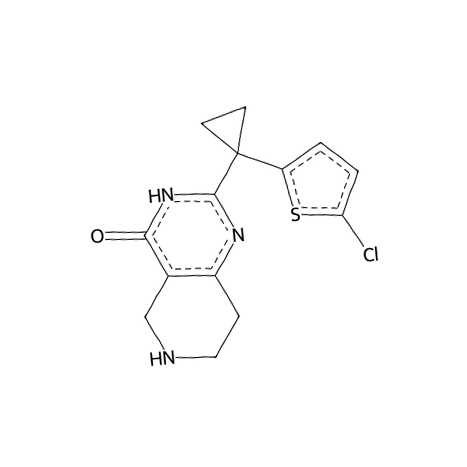 O=c1[nH]c(C2(c3ccc(Cl)s3)CC2)nc2c1CNCC2